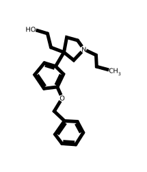 CCCN1CCC(CCO)(c2cccc(OCc3ccccc3)c2)C1